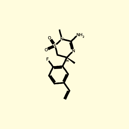 C=Cc1ccc(F)c([C@]2(C)CS(=O)(=O)N(C)C(N)=N2)c1